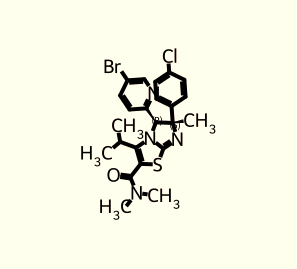 CC(C)C1=C(C(=O)N(C)C)SC2=N[C@@](C)(c3ccc(Cl)cc3)[C@H](c3ccc(Br)cn3)N21